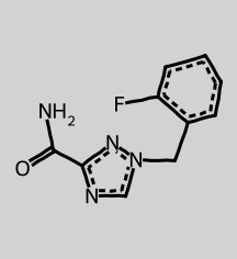 NC(=O)c1ncn(Cc2ccccc2F)n1